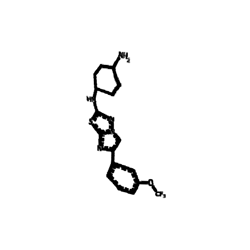 NC1CCC(Nc2nn3cc(-c4cccc(OC(F)(F)F)c4)nc3s2)CC1